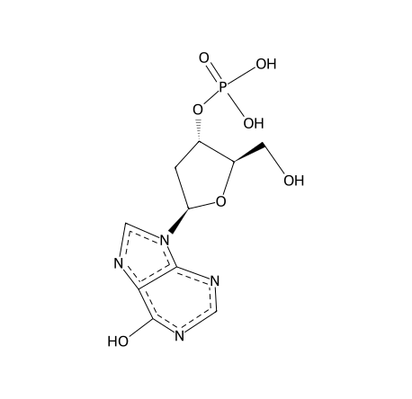 O=P(O)(O)O[C@H]1C[C@H](n2cnc3c(O)ncnc32)O[C@@H]1CO